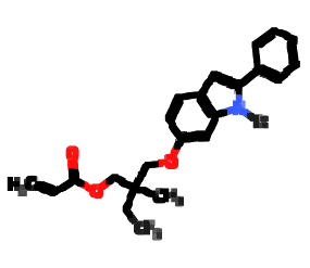 C=CC(=O)OCC(C)(COc1ccc2cc(-c3ccccc3)n(CC)c2c1)CC(F)(F)F